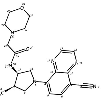 C[C@@H]1CN(c2ccc(C#N)c3nccnc23)C[C@@H]1NC(=O)CN1CCOCC1